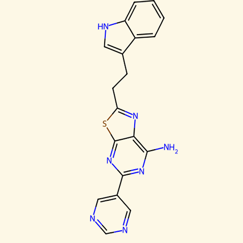 Nc1nc(-c2cncnc2)nc2sc(CCc3c[nH]c4ccccc34)nc12